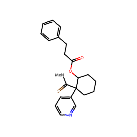 CNC(=S)C1(c2cccnc2)CCCCC1OC(=O)CCc1ccccc1